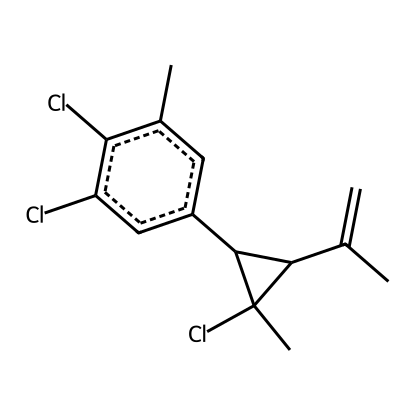 C=C(C)C1C(c2cc(C)c(Cl)c(Cl)c2)C1(C)Cl